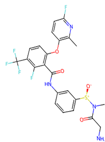 Cc1nc(F)ccc1Oc1ccc(C(F)(F)F)c(F)c1C(=O)Nc1cccc([S@@+]([O-])N(C)C(=O)CN)c1